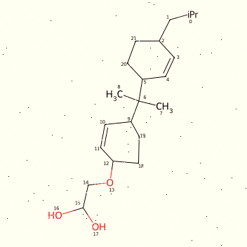 CC(C)CC1C=CC(C(C)(C)C2C=CC(OCC(O)O)CC2)CC1